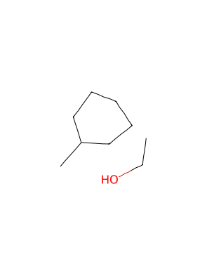 CC1CCCCC1.CCO